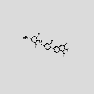 CCCc1cc(F)c(OCc2ccc(-c3ccc4c(F)c(F)c(F)cc4c3)c(F)c2)c(F)c1